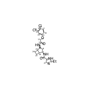 CCC1NC(C(=O)NC2C[C@H](NC(=O)COc3ccc(Cl)c(Cl)c3)C3CCC23)CS1